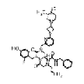 C=CCN1CC(=O)N2[C@@H](Cc3ccc(O)cc3F)C(=O)N(Cc3cccc(N4CC(N5CCN(CC)[C@H](C)C5)C4)n3)C[C@@H]2N1C(=O)NCc1ccccc1